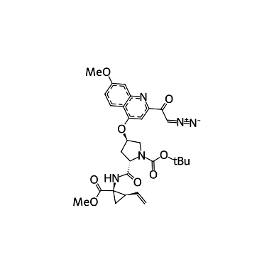 C=C[C@H]1C[C@]1(NC(=O)[C@@H]1C[C@@H](Oc2cc(C(=O)C=[N+]=[N-])nc3cc(OC)ccc23)CN1C(=O)OC(C)(C)C)C(=O)OC